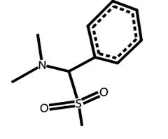 CN(C)C(c1ccccc1)S(C)(=O)=O